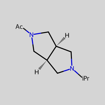 CC(=O)N1C[C@@H]2CN(C(C)C)C[C@@H]2C1